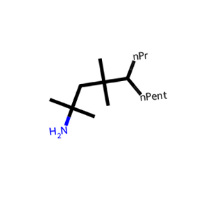 CCCCCC(CCC)C(C)(C)CC(C)(C)N